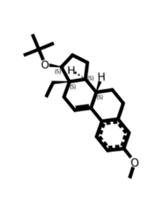 CC[C@]12CC=C3c4ccc(OC)cc4CC[C@H]3[C@@H]1CC[C@@H]2OC(C)(C)C